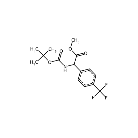 COC(=O)C(NC(=O)OC(C)(C)C)c1ccc(C(F)(F)F)cc1